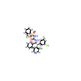 O=C(N[C@H](Cc1cc(F)cc(F)c1)c1ncccc1-c1cncc(F)c1)NS(=O)(=O)c1ccccc1Cl